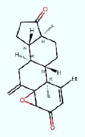 C=C1C[C@H]2[C@@H]3CCC(=O)[C@@]3(C)CC[C@@H]2[C@@]2(C)C(CC)=CC(=O)C3OC132